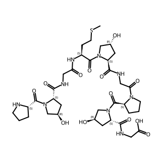 CSCC[C@H](NC(=O)CNC(=O)[C@@H]1C[C@@H](O)CN1C(=O)[C@@H]1CCCN1)C(=O)N1C[C@H](O)C[C@H]1C(=O)NCC(=O)N1CCC[C@H]1C(=O)N1C[C@H](O)C[C@H]1C(=O)NCC(=O)O